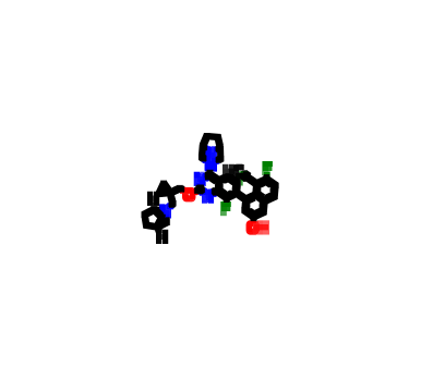 C#Cc1c(F)ccc2cc(O)cc(-c3c(F)cc4c(N5CC6CCC(C5)N6)nc(OCC5(CN6C[C@@H]7CC[C@H]6C7)CC5)nc4c3F)c12